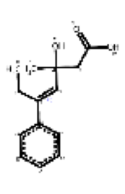 CC/C(=C\C(C)(O)CC(=O)O)c1ccccc1